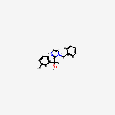 CCc1cccc(C(C)(O)c2nccn2Cc2ccccc2)c1